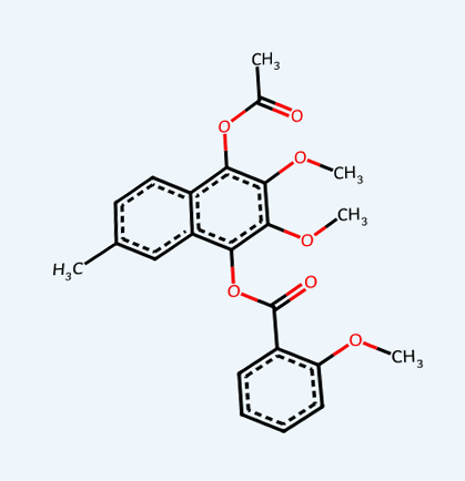 COc1ccccc1C(=O)Oc1c(OC)c(OC)c(OC(C)=O)c2ccc(C)cc12